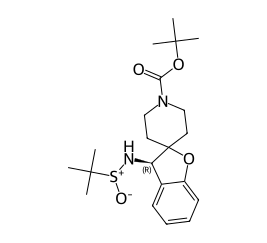 CC(C)(C)OC(=O)N1CCC2(CC1)Oc1ccccc1[C@H]2N[S+]([O-])C(C)(C)C